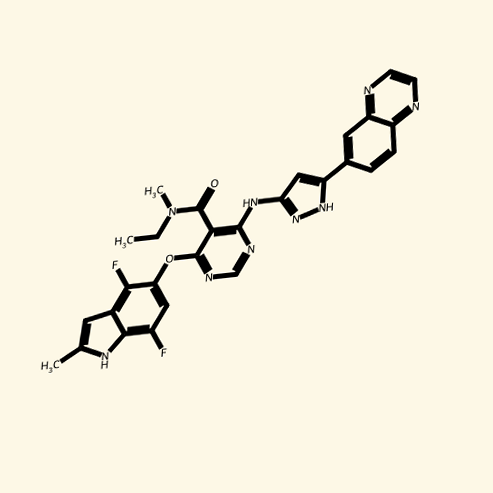 CCN(C)C(=O)c1c(Nc2cc(-c3ccc4nccnc4c3)[nH]n2)ncnc1Oc1cc(F)c2[nH]c(C)cc2c1F